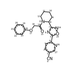 N#Cc1ccc(-c2nc(C3CCCCN3C(=O)COc3ccccc3)no2)nc1